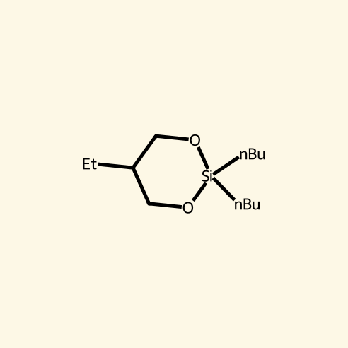 CCCC[Si]1(CCCC)OCC(CC)CO1